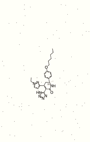 CCCCCCOc1ccc([C@]2(C)CC(c3ccn(CC)n3)=C(c3nnn[nH]3)C(=O)N2)cc1